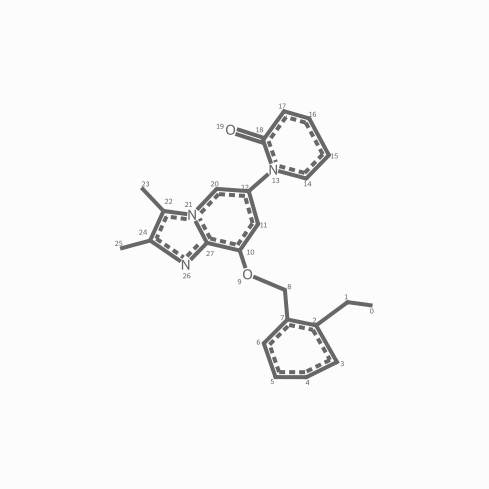 CCc1ccccc1COc1cc(-n2ccccc2=O)cn2c(C)c(C)nc12